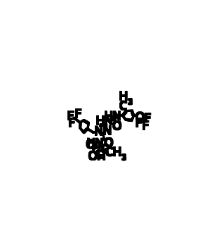 CCC(Cl)(NC(=O)c1nc(NC(=O)Nc2ccc(OC(F)(F)F)cc2C)cn1Cc1ccc(C(F)(F)F)cc1)C(=O)O